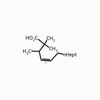 CCCCCCCC/C=C\C(C)C(C)(C)C(=O)O